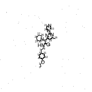 CCOc1ccc(CCNC(=O)C(c2cc(C)nc(-n3ccnc3)n2)N2CCCCC2)cc1